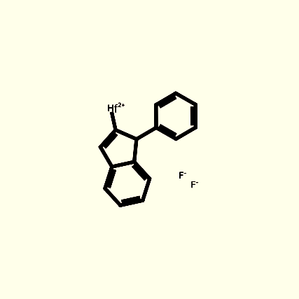 [F-].[F-].[Hf+2][C]1=Cc2ccccc2C1c1ccccc1